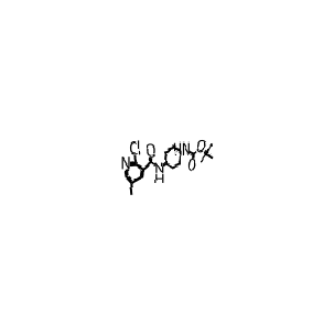 Cc1cnc(Cl)c(C(=O)NC2CCC(NC(=O)OC(C)(C)C)CC2)c1